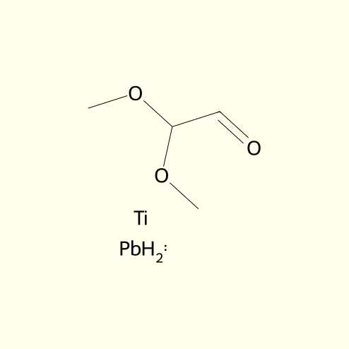 COC(C=O)OC.[PbH2].[Ti]